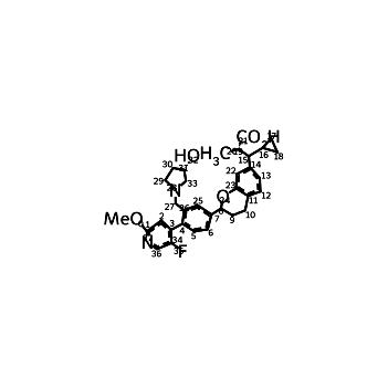 COc1cc(-c2ccc(C3CCc4ccc(C(C5CC5)[C@H](C)C(=O)O)cc4O3)cc2CN2CC[C@H](O)C2)c(F)cn1